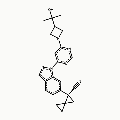 CC(C)(O)C1CN(c2cc(-n3ncc4ccc([C@]5(C#N)CC56CC6)cc43)ncn2)C1